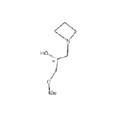 CC(C)(C)OC[C@H](O)CN1CCC1